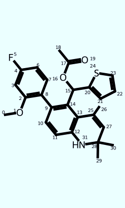 COc1cc(F)ccc1-c1ccc2c(c1C(OC(C)=O)c1cccs1)C(C)=CC(C)(C)N2